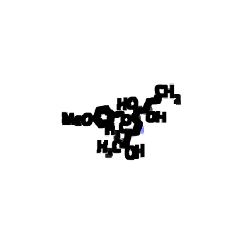 C=CC[C@H](O)[C@H](O)[C@@H](/C=C\[C@@H](C)[C@H](C)O)OCc1ccc(OC)cc1